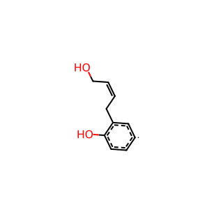 OC/C=C\Cc1c[c]ccc1O